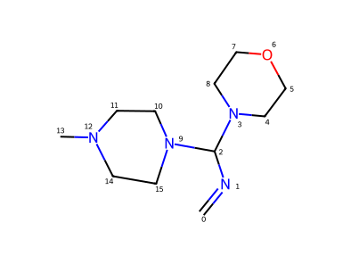 C=NC(N1CCOCC1)N1CCN(C)CC1